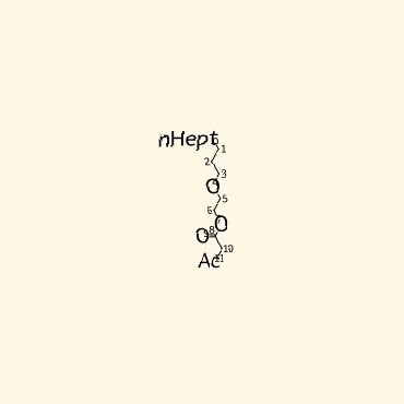 CCCCCCCCCCOCCOC(=O)CC(C)=O